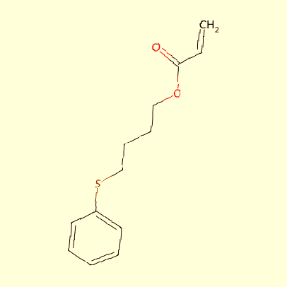 C=CC(=O)OCCCCSc1ccccc1